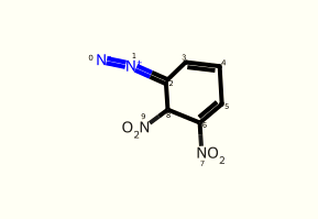 [N-]=[N+]=C1C=CC=C([N+](=O)[O-])C1[N+](=O)[O-]